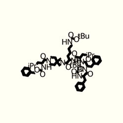 CC(C)CC(NC(=O)C(Cc1ccccc1)NC(=O)C(Cc1ccccc1)NC(=O)OC(C)(C)C)C(=O)NC(CCCCNC(=O)OC(C)(C)C)C(=O)N1CC2(CCN(C(=O)C(CC(C)C)NC(=O)OCc3ccccc3)CC2)C1